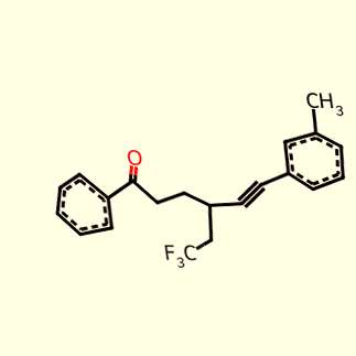 Cc1cccc(C#CC(CCC(=O)c2ccccc2)CC(F)(F)F)c1